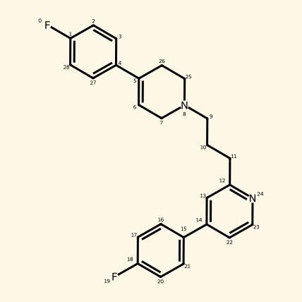 Fc1ccc(C2=CCN(CCCc3cc(-c4ccc(F)cc4)ccn3)CC2)cc1